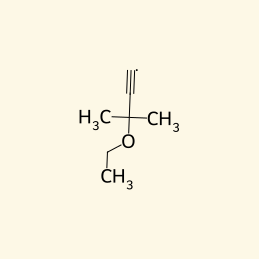 [C]#CC(C)(C)OCC